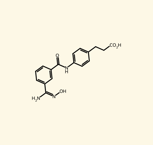 N/C(=N/O)c1cccc(C(=O)Nc2ccc(CCC(=O)O)cc2)c1